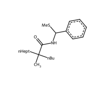 CCCCCCCC(C)(CCCC)C(=O)NC(SC)c1ccccc1